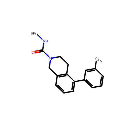 CCCNC(=O)N1CCc2c(cccc2-c2cccc(C(F)(F)F)c2)C1